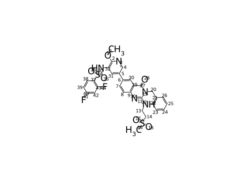 COc1ncc(-c2ccc3nc(NCCS(C)(=O)=O)n(Cc4ccccc4)c(=O)c3c2)cc1NS(=O)(=O)c1ccc(F)cc1F